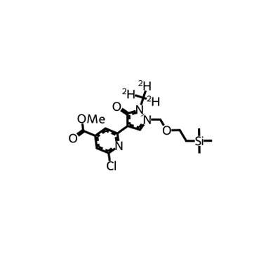 [2H]C([2H])([2H])n1c(=O)c(-c2cc(C(=O)OC)cc(Cl)n2)cn1COCC[Si](C)(C)C